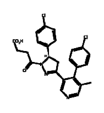 Cc1cncc(C2=NN(C(=O)CCC(=O)O)[C@@H](c3ccc(Cl)cc3)C2)c1-c1ccc(Cl)cc1